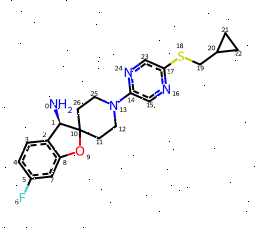 N[C@@H]1c2ccc(F)cc2OC12CCN(c1cnc(SCC3CC3)cn1)CC2